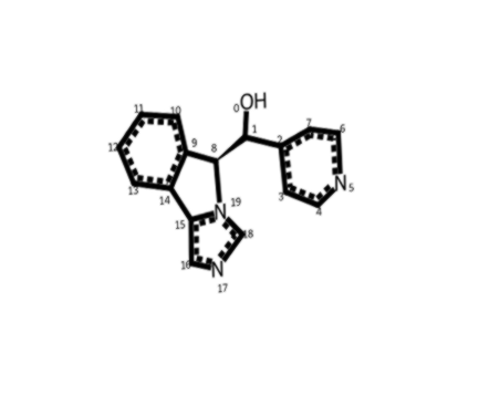 OC(c1ccncc1)[C@@H]1c2ccccc2-c2cncn21